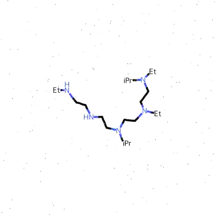 CCNCCNCCN(CCN(CC)CCN(CC)C(C)C)C(C)C